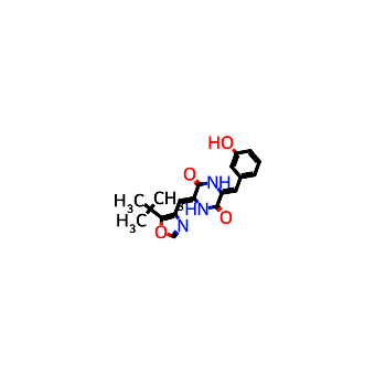 CC(C)(C)c1ocnc1/C=c1\[nH]c(=O)/c(=C/c2cccc(O)c2)[nH]c1=O